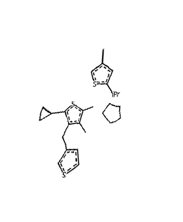 C1CCCC1.Cc1csc(C(C)C)c1.Cc1sc(C2CC2)c(Cc2ccsc2)c1C